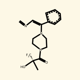 C=N/C=C(/c1ccccc1)N1CCN(C(=O)[C@@](C)(O)C(F)(F)F)CC1